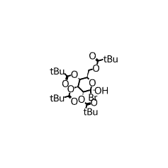 CC(C)(C)C(=O)OC[C@H]1O[C@@](O)(Br)[C@H](OC(=O)C(C)(C)C)[C@@H](OC(=O)C(C)(C)C)[C@@H]1OC(=O)C(C)(C)C